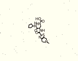 CN1CCc2nc(C(=O)NC(CNC(=O)O)C(=O)NC3CCCC3)sc2C1